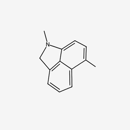 Cc1ccc2c3c(cccc13)CN2C